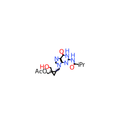 CC(=O)OC[C@]1(CO)C/C1=C/n1cnc2c(=O)[nH]c(NC(=O)C(C)C)nc21